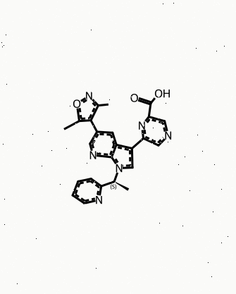 Cc1noc(C)c1-c1cnc2c(c1)c(-c1cncc(C(=O)O)n1)cn2[C@@H](C)c1ccccn1